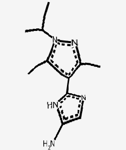 Cc1nn(C(C)C)c(C)c1-c1ncc(N)[nH]1